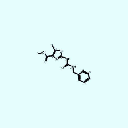 COC(=O)c1nc(NC(=O)NCc2ccccc2)sc1C